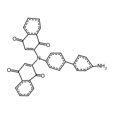 Nc1ccc(-c2ccc(N(C3=CC(=O)c4ccccc4C3=O)C3=CC(=O)c4ccccc4C3=O)cc2)cc1